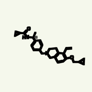 C=Cc1c(OCC2CC2)ccc2c1CCN(Cc1ccc([C@H](C)NC(=O)C3CC3)cc1)C2